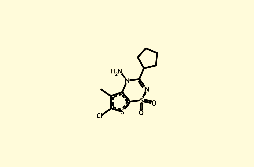 Cc1c(Cl)sc2c1N(N)C(C1CCCC1)=NS2(=O)=O